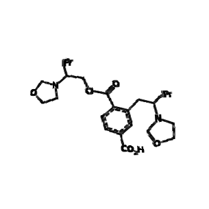 CC(C)C(COC(=O)c1ccc(C(=O)O)cc1CC(C(C)C)N1CCOC1)N1CCOC1